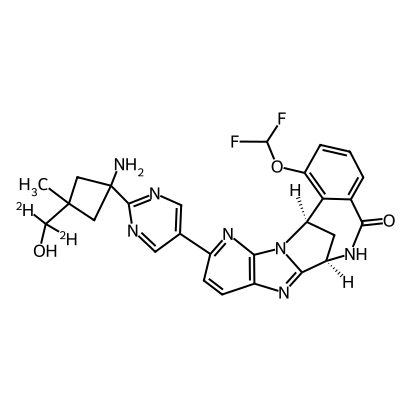 [2H]C([2H])(O)C1(C)CC(N)(c2ncc(-c3ccc4nc5n(c4n3)[C@@H]3C[C@H]5NC(=O)c4cccc(OC(F)F)c43)cn2)C1